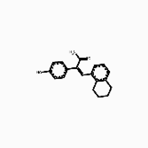 NC(=O)C(=Cc1cccc2c1CCCC2)c1ccc(O)cc1